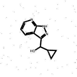 OC(c1n[nH]c2ncccc12)C1CC1